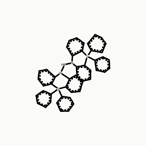 B(N1c2ccccc2S(c2ccccc2)(c2ccccc2)c2ccccc21)N1c2ccccc2S(c2ccccc2)(c2ccccc2)c2ccccc21